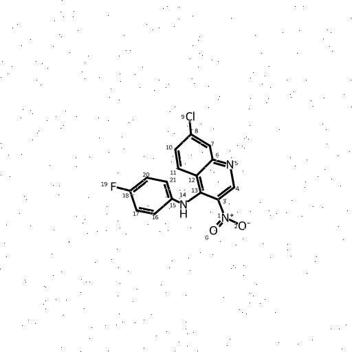 O=[N+]([O-])c1cnc2cc(Cl)ccc2c1Nc1ccc(F)cc1